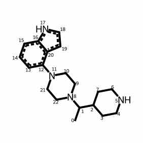 CC(C1CCNCC1)N1CCN(c2cccc3[nH]ccc23)CC1